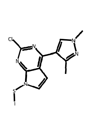 Cc1nn(C)cc1-c1nc(Cl)nc2c1ccn2SI